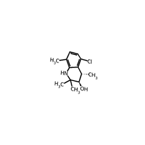 Cc1ccc(Cl)c2c1NC(C)(C)[C@H](O)[C@H]2C